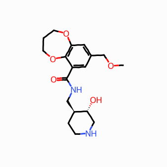 COCc1cc2c(c(C(=O)NC[C@@H]3CCNC[C@H]3O)c1)OCCCO2